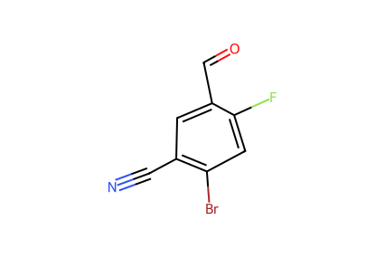 N#Cc1cc(C=O)c(F)cc1Br